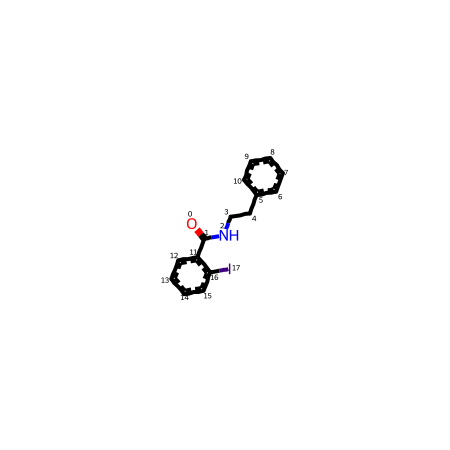 O=C(NCCc1ccccc1)c1ccccc1I